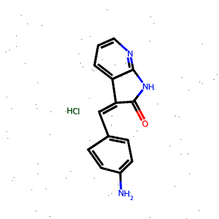 Cl.Nc1ccc(C=C2C(=O)Nc3ncccc32)cc1